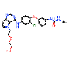 CC(C)(C)NC(=O)Nc1cccc(Oc2ccc(Nc3ncnc4ccn(CCOCCO)c34)cc2Cl)c1